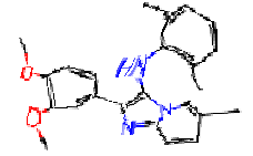 COc1ccc(-c2nc3ccc(C)cn3c2Nc2c(C)cccc2C)cc1OC